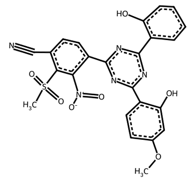 COc1ccc(-c2nc(-c3ccccc3O)nc(-c3ccc(C#N)c(S(C)(=O)=O)c3[N+](=O)[O-])n2)c(O)c1